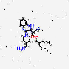 CCC(CC)COC(=O)/C(C#N)=C1/Nc2ccccc2N=C1N1CCC(CN)CC1